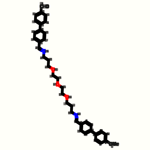 COc1ccc(-c2ccc(C=NCCCOCCOCCOCCCN=Cc3ccc(-c4ccc(C=O)cc4)cc3)cc2)cc1